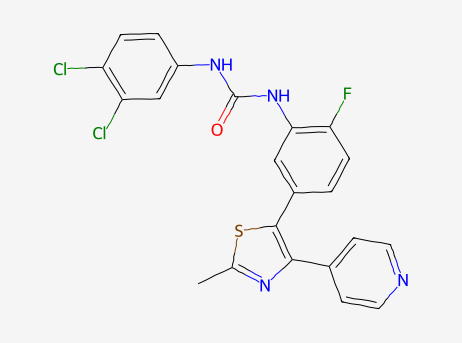 Cc1nc(-c2ccncc2)c(-c2ccc(F)c(NC(=O)Nc3ccc(Cl)c(Cl)c3)c2)s1